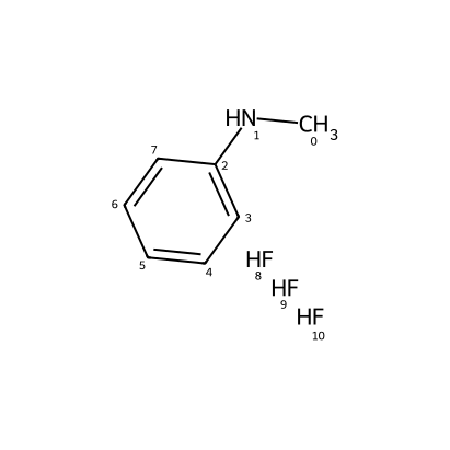 CNc1ccccc1.F.F.F